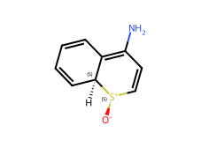 NC1=C2C=CC=C[C@@H]2[S@+]([O-])C=C1